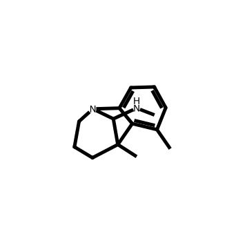 CNC1N2CCCC1(C)c1c(C)cccc12